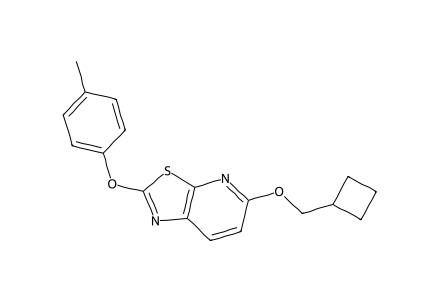 Cc1ccc(Oc2nc3ccc(OCC4CCC4)nc3s2)cc1